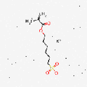 C=C(C)C(=O)OCCCCCCS(=O)(=O)[O-].[K+]